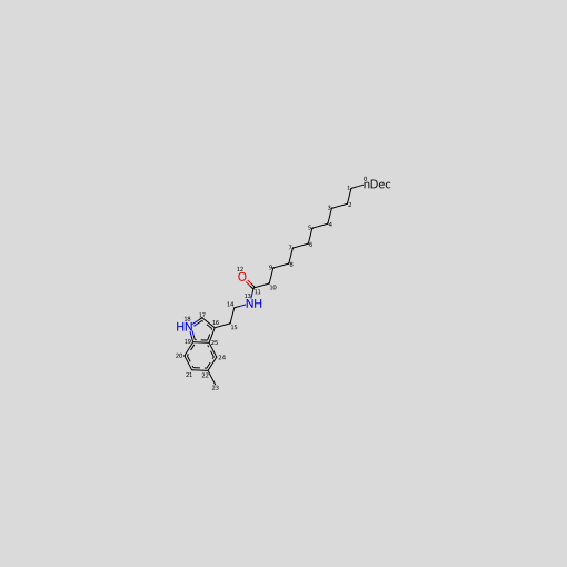 CCCCCCCCCCCCCCCCCCCCC(=O)NCCc1c[nH]c2ccc(C)cc12